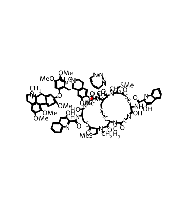 C1=CN=NN=NC=C1.COc1cc(C[C@H]2c3cc(OC)c(OC)cc3CCN2C)c(Oc2cc3c(cc2OC)-c2c(OC)c(OC)cc4c2[C@H](C3)N(C)CC4)cc1OC.CSCC1C(=O)SCC(NC(=O)c2nc3ccccc3cc2O)C(O)=NCC(=O)N(C)C2CSSCC(C(=O)N1C)N(C)C(=O)CN=C(O)C(NC(=O)c1nc3ccccc3cc1O)CSC(=O)C(CSC)N(C)C2=O